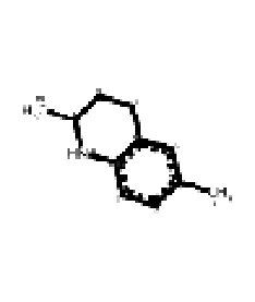 Cc1ccc2c(c1)CC[C@H](C)N2